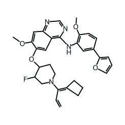 C=CC(=C1CCC1)N1CCC(Oc2cc3c(Nc4cc(-c5ccco5)ccc4OC)ncnc3cc2OC)C(F)C1